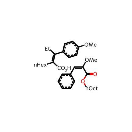 CCCCCCC(C(=O)O)=C(CC)c1ccc(OC)cc1.CCCCCCCCOC(=O)C(=Cc1ccccc1)OC